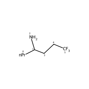 CCCC(N)CCC(F)(F)F